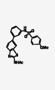 COc1ccc(S(=O)(=O)Nc2cccc(-c3ccc4nc(NC(C)=O)sc4c3)c2)cc1